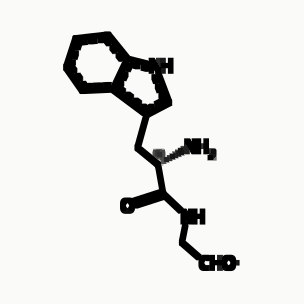 N[C@@H](Cc1c[nH]c2ccccc12)C(=O)NC[C]=O